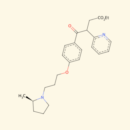 CCOC(=O)CC(C(=O)c1ccc(OCCCN2CCC[C@H]2C)cc1)c1ccccn1